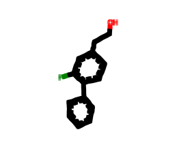 OCCc1ccc(-c2ccccc2)c(F)c1